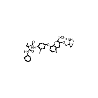 COc1cc2c(Oc3ccc(NC(=O)C4(C(=O)Nc5ccccc5)CC4)c(F)c3)ccnc2cc1OCC1(N)CC1